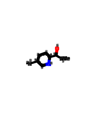 [2H]c1ccc(C(=O)NC)nc1